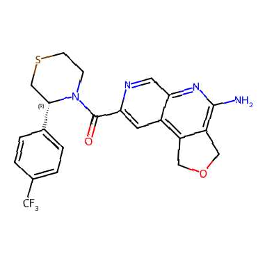 Nc1nc2cnc(C(=O)N3CCSC[C@H]3c3ccc(C(F)(F)F)cc3)cc2c2c1COC2